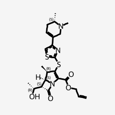 C=CCOC(=O)C1=C(Sc2nc(C3=CC[C@H](C)N(C)C3)cs2)[C@H](C)[C@@H]2[C@@H]([C@@H](C)O)C(=O)N12